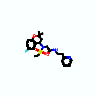 CCS(=O)(=O)N(CC(=O)NCCc1ccccn1)C1CC(C)(C)Oc2ccc(F)cc21